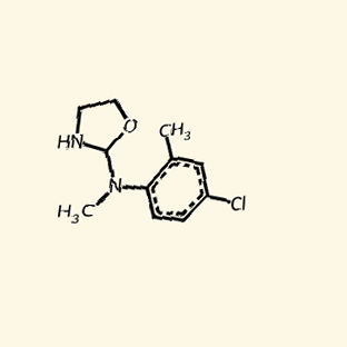 Cc1cc(Cl)ccc1N(C)C1NCCO1